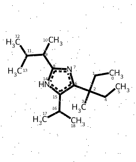 CCC(C)(CC)c1nc(C(C)C(C)C)[nH]c1C(C)C